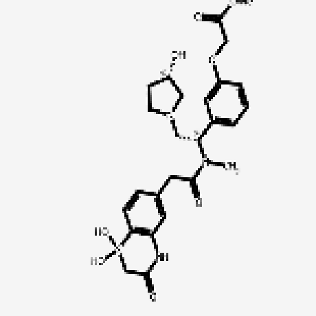 COC(=O)COc1cccc([C@@H](CN2CC[C@H](O)C2)N(C)C(=O)Cc2ccc3c(c2)NC(=O)CS3(O)O)c1